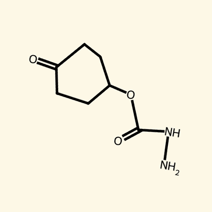 NNC(=O)OC1CCC(=O)CC1